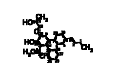 CCC=Cc1ccc(-c2cc(OCC(C)O)c(O)c(N(C)C)c2-c2ccccc2)cc1